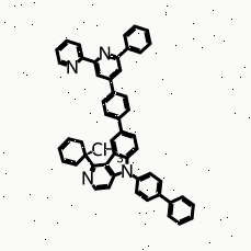 C[C@@]1(c2nccc3c2c2cc(-c4ccc(-c5cc(-c6ccccc6)nc(-c6ccccn6)c5)cc4)ccc2n3-c2ccc(-c3ccccc3)cc2)C=CC=CC1